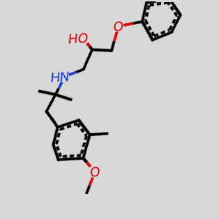 COc1ccc(CC(C)(C)NCC(O)COc2ccccc2)cc1C